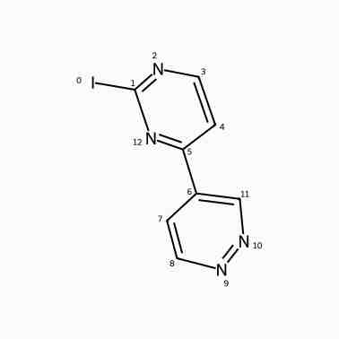 Ic1nccc(-c2ccnnc2)n1